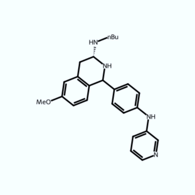 CCCCN[C@H]1Cc2cc(OC)ccc2C(c2ccc(Nc3cccnc3)cc2)N1